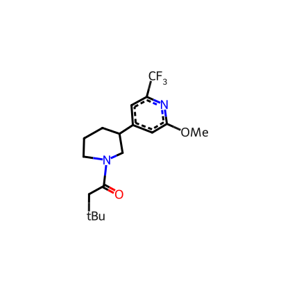 COc1cc(C2CCCN(C(=O)CC(C)(C)C)C2)cc(C(F)(F)F)n1